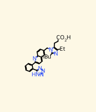 CCCCc1nc(CC)c(CCC(=O)O)n1Cc1ccc2nc(-c3ccccc3-c3nnn[nH]3)ccc2c1